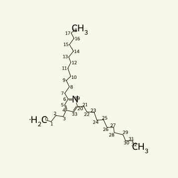 [CH2]CCCc1cc(CCCCCCCCCCCC)nc(CCCCCCCCCCCC)c1